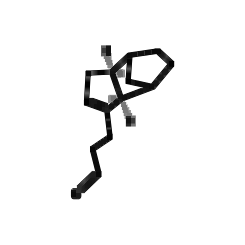 O=CCCC1=CC[C@H]2C3CCC(C3)[C@@H]12